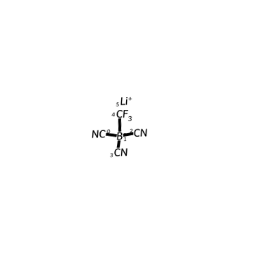 N#C[B-](C#N)(C#N)C(F)(F)F.[Li+]